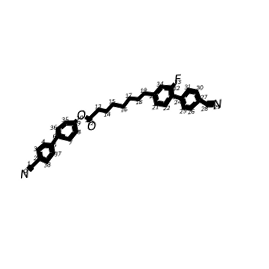 N#Cc1ccc(-c2ccc(OC(=O)CCCCCCCc3ccc(-c4ccc(C#N)cc4)c(F)c3)cc2)cc1